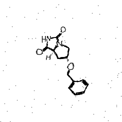 O=C1NC(=O)N2C[C@H](OCc3ccccc3)C[C@@H]12